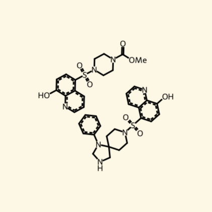 COC(=O)N1CCN(S(=O)(=O)c2ccc(O)c3ncccc23)CC1.O=S(=O)(c1ccc(O)c2ncccc12)N1CCC2(CC1)CNCN2c1ccccc1